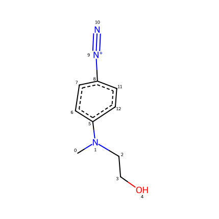 CN(CCO)c1ccc([N+]#N)cc1